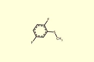 CSc1cc(F)ccc1F